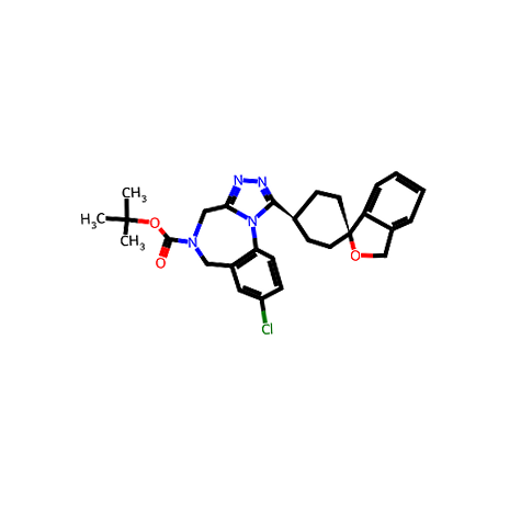 CC(C)(C)OC(=O)N1Cc2cc(Cl)ccc2-n2c(nnc2[C@H]2CC[C@]3(CC2)OCc2ccccc23)C1